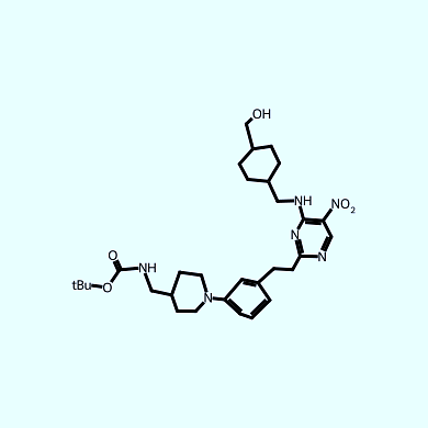 CC(C)(C)OC(=O)NCC1CCN(c2cccc(CCc3ncc([N+](=O)[O-])c(NCC4CCC(CO)CC4)n3)c2)CC1